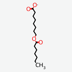 CCCCCCC(=O)OCCCCCCCC([O])=O